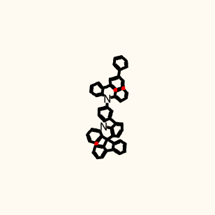 c1ccc(-c2cccc(-c3ccccc3N(c3ccccc3)c3ccc4c(c3)c3cccc5c3n4-c3ccccc3C53c4ccccc4-c4ccccc43)c2)cc1